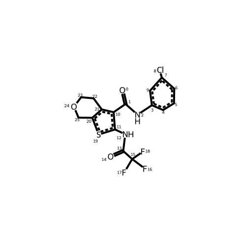 O=C(Nc1cccc(Cl)c1)c1c(NC(=O)C(F)(F)F)sc2c1CCOC2